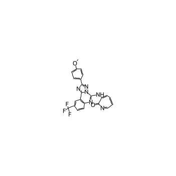 COc1ccc(-c2nc3c4cc(C(F)(F)F)ccc4nc(Nc4ccccnc4=O)n3n2)cc1